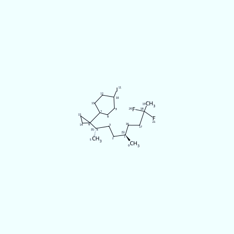 C[C@@H](CC[C@H](C)C1(C2CCC(I)CC2)CC1)CCC(C)(F)F